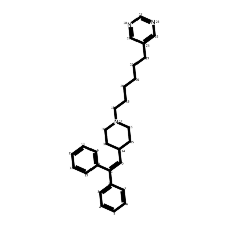 C(=C(c1ccccc1)c1ccccc1)C1CCN(CCCCCCc2cncnc2)CC1